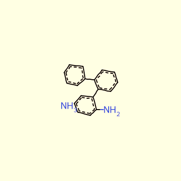 N.Nc1ccccc1-c1ccccc1-c1ccccc1